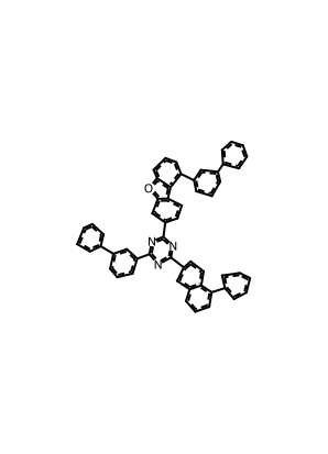 c1ccc(-c2cccc(-c3nc(-c4ccc5c(-c6ccccc6)cccc5c4)nc(-c4ccc5c(c4)oc4cccc(-c6cccc(-c7ccccc7)c6)c45)n3)c2)cc1